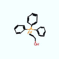 OCC[PH](c1ccccc1)(c1ccccc1)c1ccccc1